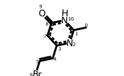 Cc1nc(/C=C/Br)cc(=O)[nH]1